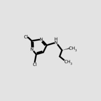 CC[C@@H](C)Nc1cc(Cl)nc(Cl)n1